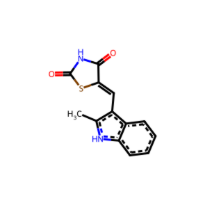 Cc1[nH]c2ccccc2c1/C=C1\SC(=O)NC1=O